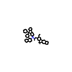 C=Cc1cc2c(cc1/C=C(\C)N(c1ccc3c(c1)C(c1ccccc1)(c1ccccc1)c1ccccc1-3)c1ccc3ccccc3c1)C(C)(C)c1cc3ccccc3cc1-2